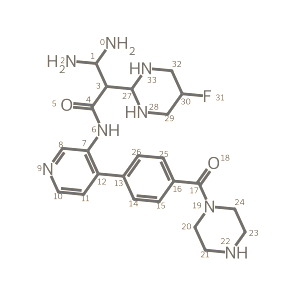 NC(N)C(C(=O)Nc1cnccc1-c1ccc(C(=O)N2CCNCC2)cc1)C1NCC(F)CN1